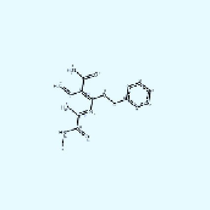 C=C/C(C(N)=O)=C(\N=C(/N)C(=O)NI)OCc1ccccc1